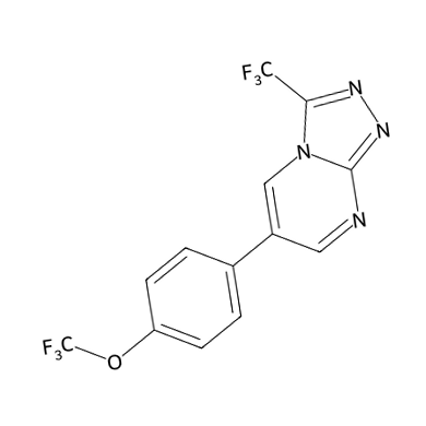 FC(F)(F)Oc1ccc(-c2cnc3nnc(C(F)(F)F)n3c2)cc1